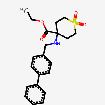 CCOC(=O)C1(NCc2ccc(-c3ccccc3)cc2)CCS(=O)(=O)CC1